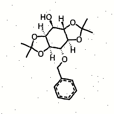 CC1(C)O[C@@H]2[C@@H](OCc3ccccc3)[C@@H]3OC(C)(C)O[C@H]3[C@H](O)[C@@H]2O1